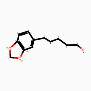 BrCCCCCc1ccc2c(c1)OCO2